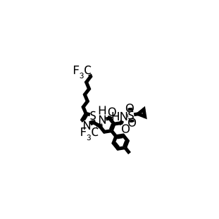 Cc1ccc(C2=C(C(=O)NS(=O)(=O)C3CC3)C(=O)N[C@](c3ncc(CCCCCCC(F)(F)F)s3)(C(F)(F)F)C2)cc1